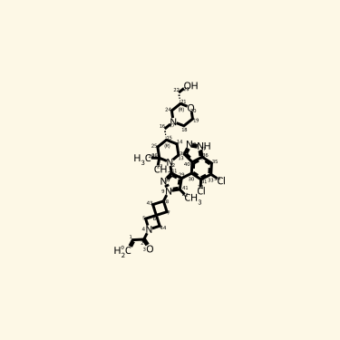 C=CC(=O)N1CC2(CC(n3nc(N4CC[C@@H](CN5CCO[C@@H](CO)C5)CC4(C)C)c(-c4c(Cl)c(Cl)cc5[nH]ncc45)c3C)C2)C1